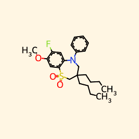 CCCCC1(CCCC)CN(c2ccccc2)c2cc(F)c(OC)cc2S(=O)(=O)C1